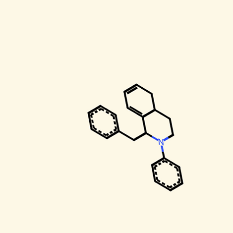 C1=CCC2CCN(c3ccccc3)C(Cc3ccccc3)C2=C1